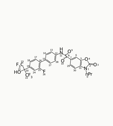 CCCn1c(=O)oc2cc(S(=O)(=O)Nc3ccc(-c4ccc(C(O)(C(F)(F)F)C(F)(F)F)cc4F)cc3)ccc21